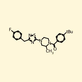 CC1CN(c2nc(Cc3ccc(F)cc3)ns2)CCN1C(=O)c1ccc(C(C)(C)C)cc1